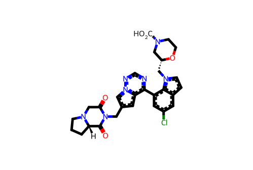 O=C(O)N1CCO[C@H](Cn2ccc3cc(Cl)cc(-c4ncnn5cc(CN6C(=O)CN7CCC[C@H]7C6=O)cc45)c32)C1